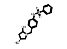 O=S(=O)(Nc1ccc(CN2C[C@@H](O)CC2O)cc1)c1ccccc1